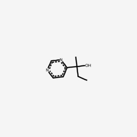 CCC(C)(O)c1ccncn1